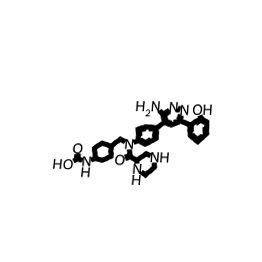 Nc1nnc(-c2ccccc2O)cc1-c1ccc(N(CC2CCC(NC(=O)O)CC2)C(=O)C2CNCCN2)cc1